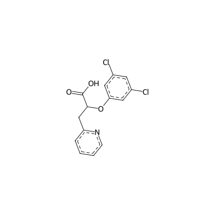 O=C(O)C(Cc1ccccn1)Oc1cc(Cl)cc(Cl)c1